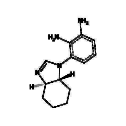 Nc1cccc(N2C=N[C@@H]3CCCC[C@H]32)c1N